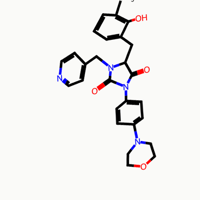 Cc1cccc(CC2C(=O)N(c3ccc(N4CCOCC4)cc3)C(=O)N2Cc2ccncc2)c1O